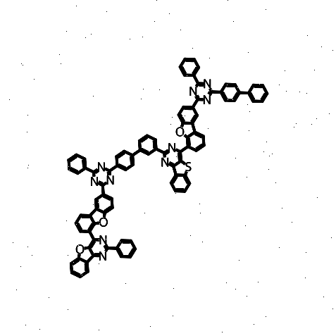 c1ccc(-c2ccc(-c3nc(-c4ccccc4)nc(-c4ccc5oc6c(-c7nc(-c8cccc(-c9ccc(-c%10nc(-c%11ccccc%11)nc(-c%11ccc%12oc%13c(-c%14nc(-c%15ccccc%15)nc%15c%14oc%14ccccc%14%15)cccc%13c%12c%11)n%10)cc9)c8)nc8c7sc7ccccc78)cccc6c5c4)n3)cc2)cc1